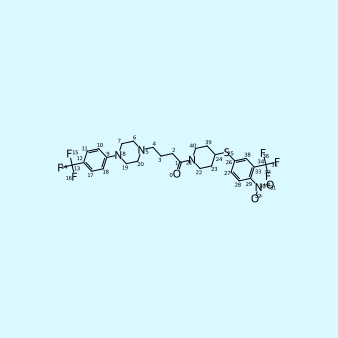 O=C(CCCN1CCN(c2ccc(C(F)(F)F)cc2)CC1)N1CCC(Sc2ccc([N+](=O)[O-])c(C(F)(F)F)c2)CC1